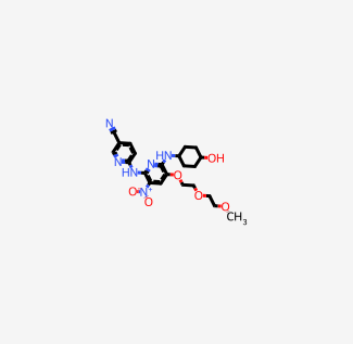 COCCOCCOc1cc([N+](=O)[O-])c(Nc2ccc(C#N)cn2)nc1NC1CCC(O)CC1